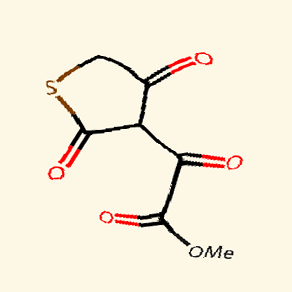 COC(=O)C(=O)C1C(=O)CSC1=O